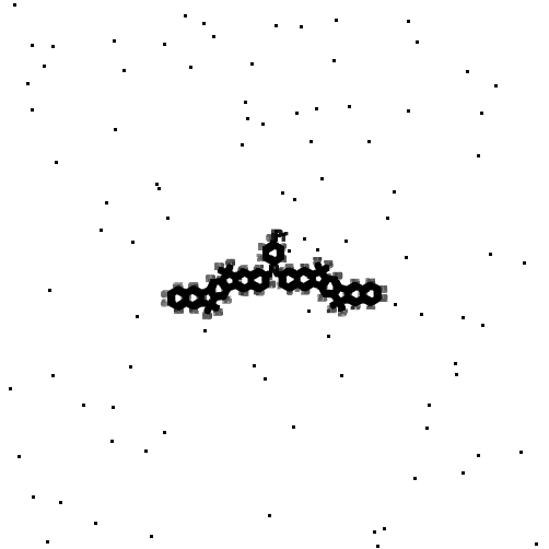 CC(C)c1ccc(N(c2ccc3cc4c(cc3c2)C(C)(C)c2cc3c(cc2-4)C(C)(C)c2cc4ccccc4cc2-3)c2ccc3cc4c(cc3c2)C(C)(C)c2cc3c(cc2-4)C(C)(C)c2cc4ccccc4cc2-3)cc1